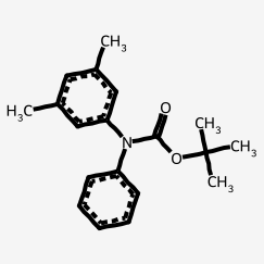 Cc1cc(C)cc(N(C(=O)OC(C)(C)C)c2ccccc2)c1